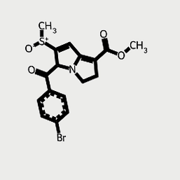 COC(=O)C1=C2C=C([S+](C)[O-])C(C(=O)c3ccc(Br)cc3)N2CC1